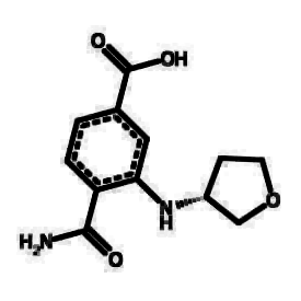 NC(=O)c1ccc(C(=O)O)cc1N[C@@H]1CCOC1